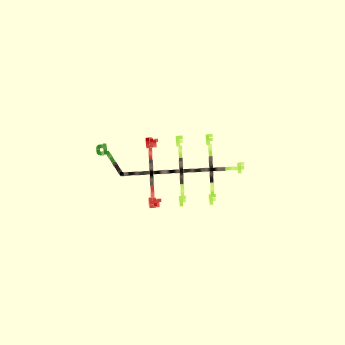 FC(F)(F)C(F)(F)C(Br)(Br)CCl